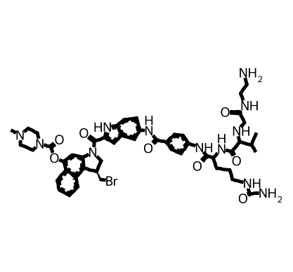 CC(C)C(NCC(=O)NCCN)C(=O)NC(CCCNC(N)=O)C(=O)Nc1ccc(C(=O)Nc2ccc3[nH]c(C(=O)N4C[C@@H](CBr)c5c4cc(OC(=O)N4CCN(C)CC4)c4ccccc54)cc3c2)cc1